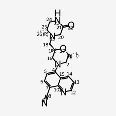 C[C@@H]1CN(c2ccc(C#N)c3ncccc23)C[C@@H](CN2CC(=O)NC[C@H]2C)O1